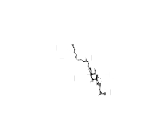 CCc1c(C)c(OCCCNCl)c(C)c(C)c1OCCC[C@H](C)CCC[C@H](C)CCCC(C)C